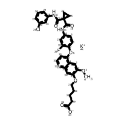 COc1cc2c(Oc3ccc(NC(=O)C4(C(=O)Nc5cccc(Cl)c5)CC4)cc3F)ccnc2cc1OCCCCC(=O)[O-].[K+]